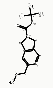 COCc1cc2c(cn1)CN(C(=O)OC(C)(C)C)C2